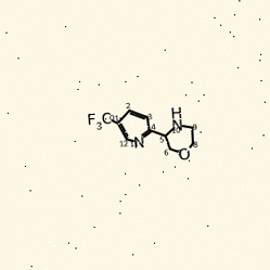 FC(F)(F)c1ccc(C2COCCN2)nc1